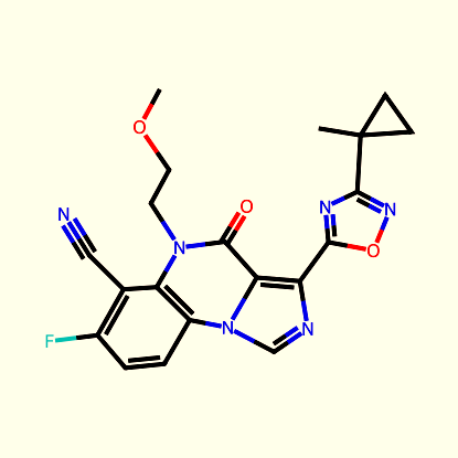 COCCn1c(=O)c2c(-c3nc(C4(C)CC4)no3)ncn2c2ccc(F)c(C#N)c21